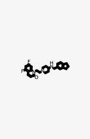 O=c1ccc2c(F)cc(F)cc2n1CCN1CCC(NCc2ccc3c(c2)CCC3)CC1